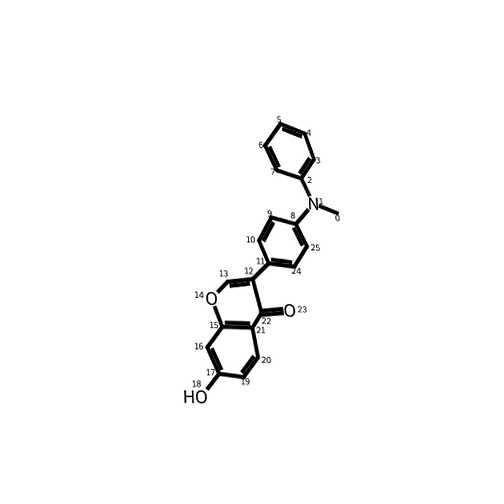 CN(c1ccccc1)c1ccc(-c2coc3cc(O)ccc3c2=O)cc1